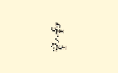 CC(C)C(C(=O)O)N(C)CCCNC(=O)OC(C)(C)C